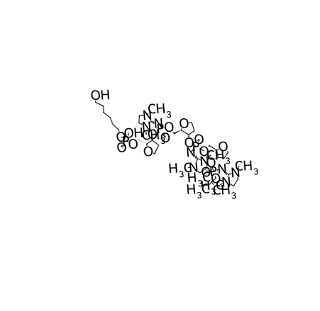 CN1CCN(C)C1=NP(=O)(OC[C@H]1OCC[C@H]1OP(=O)(N=C1N(C)CCN1C)OCC1OCC[C@H]1OP(=O)(N=C1N(C)CCN1C)OC(C)(C)C)O[C@H]1CCO[C@@H]1COP(=O)(O)OCCCCCCO